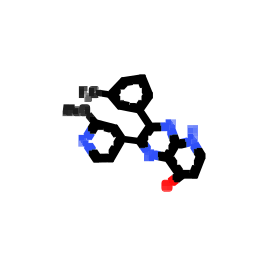 COc1cc(-c2nc3c(=O)cc[nH]c3nc2-c2cccc(C(F)(F)F)c2)ccn1